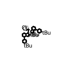 CCCCC1=Cc2c(-c3ccc(C(C)(C)C)cc3)cccc2[CH]1[Zr+2]1([CH]2C(CCCC)=Cc3c(-c4ccc(C(C)(C)C)cc4)cccc32)[CH2][CH2]1.[Cl-].[Cl-]